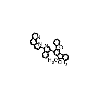 CC1(C)c2ccccc2-c2c1cc(-c1cnc(-c3ccc4ccc5cccnc5c4n3)c3ccccc13)c1c2oc2ccccc21